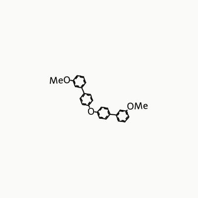 COc1cccc(-c2ccc(Oc3ccc(-c4cccc(OC)c4)cc3)cc2)c1